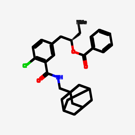 CNC[C@@H](Cc1ccc(Cl)c(C(=O)NCC23CC4CC(CC(C4)C2)C3)c1)OC(=O)c1ccccc1